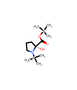 C[Si](C)(C)OC(=O)[C@]1(O)CCCN1[Si](C)(C)C